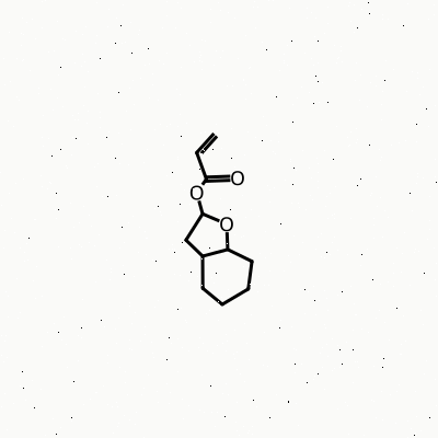 C=CC(=O)OC1CC2CCCCC2O1